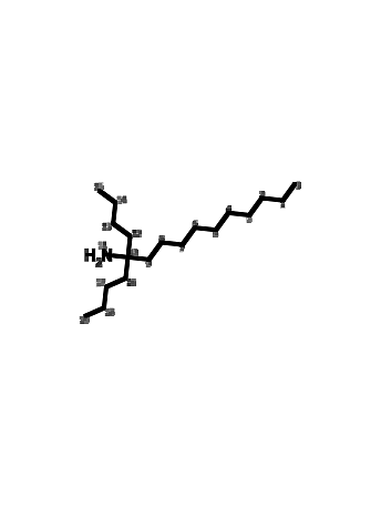 CCCCCCCCCCC(N)(CCCC)CCCC